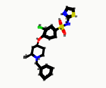 CC[C@H]1C[C@H](Oc2ccc(S(=O)(=O)Nc3nccs3)cc2Cl)CCN1Cc1ccccc1